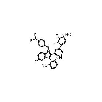 N#Cc1cccc(C#N)c1-c1c(-c2cccc(-c3ccc(C=O)c(F)c3F)c2)n(Sc2ccc(C(F)F)cc2)c2ccc(F)cc12